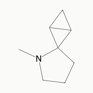 CN1CCCC12C1CC12